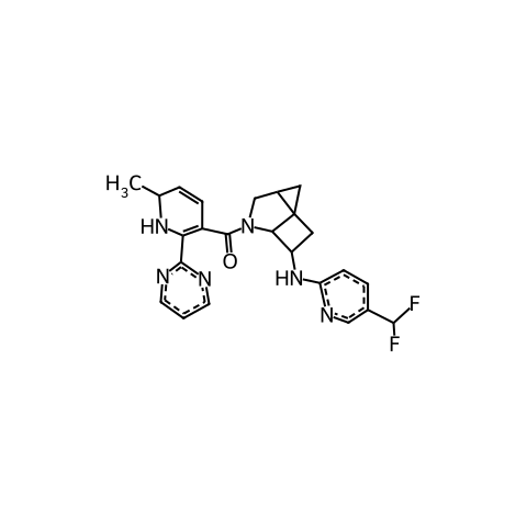 CC1C=CC(C(=O)N2CC3CC34CC(Nc3ccc(C(F)F)cn3)C24)=C(c2ncccn2)N1